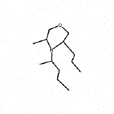 CCCC(C)N1C(C)COCC1CCC